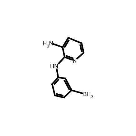 Bc1cccc(Nc2ncccc2N)c1